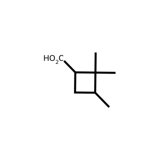 CC1CC(C(=O)O)C1(C)C